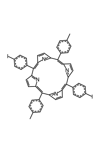 Cc1ccc(C2=C3C=CC(=N3)C(c3ccc(I)cc3)=C3C=CC(=N3)C(c3ccc(C)cc3)=C3C=CC(=N3)C(c3ccc(I)cc3)=C3C=CC2=N3)cc1